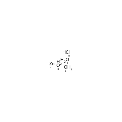 Cl.O.O.O.[Zn]